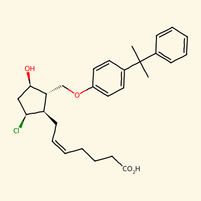 CC(C)(c1ccccc1)c1ccc(OC[C@@H]2[C@@H](C/C=C\CCCC(=O)O)[C@@H](Cl)C[C@H]2O)cc1